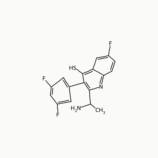 CC(N)c1nc2ccc(F)cc2c(S)c1-c1cc(F)cc(F)c1